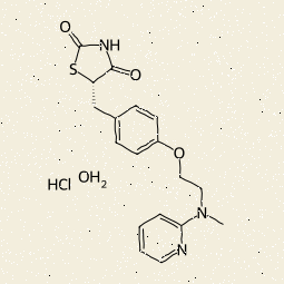 CN(CCOc1ccc(C[C@@H]2SC(=O)NC2=O)cc1)c1ccccn1.Cl.O